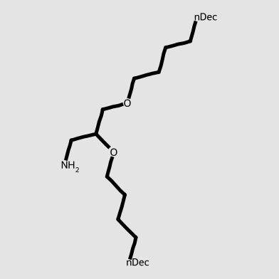 CCCCCCCCCCCCCCOCC(CN)OCCCCCCCCCCCCCC